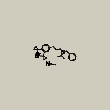 CC#N.CC(C)N(CCCc1ccc(C2(Br)CC2)c(C2(Br)CC2)c1)Cc1ccccc1